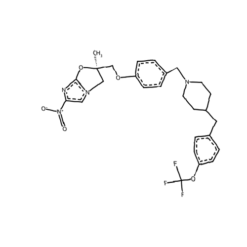 C[C@]1(COc2ccc(CN3CCC(Cc4ccc(OC(F)(F)F)cc4)CC3)cc2)Cn2cc([N+](=O)[O-])nc2O1